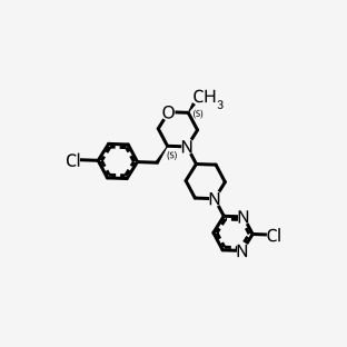 C[C@H]1CN(C2CCN(c3ccnc(Cl)n3)CC2)[C@@H](Cc2ccc(Cl)cc2)CO1